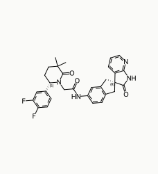 CC1(C)CC[C@@H](c2ccc(F)c(F)c2)N(CC(=O)Nc2ccc3c(c2)C[C@@]2(C3)C(=O)Nc3ncccc32)C1=O